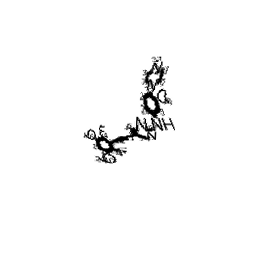 COc1cc(Nc2ncc(C#Cc3c(F)c(OC)cc(OC)c3F)cn2)ccc1N1CCN(C)CC1